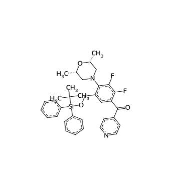 C[C@@H]1CN(c2c(CO[Si](c3ccccc3)(c3ccccc3)C(C)(C)C)cc(C(=O)c3ccncc3)c(F)c2F)C[C@H](C)O1